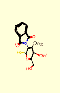 CC(=O)O[C@H]1[C@@H](O)[C@@H](CO)O[C@@H](S)[C@@H]1N1C(=O)c2ccccc2C1=O